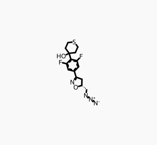 [N-]=[N+]=NC[C@H]1CC(c2cc(F)c(C3(O)CCSCC3)c(F)c2)=NO1